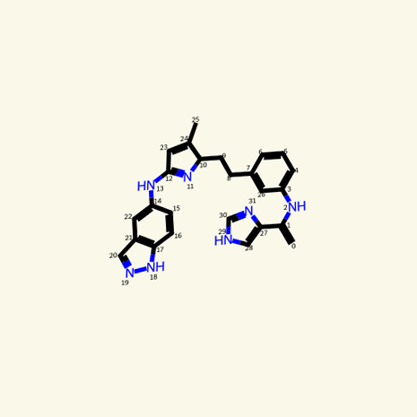 C=C(Nc1cccc(CCC2N=C(Nc3ccc4[nH]ncc4c3)C=C2C)c1)c1c[nH]cn1